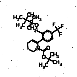 CC(C)(C)OC(=O)N1CCCC=C1c1ccc(C(F)(F)F)cc1CO[Si](C)(C)C(C)(C)C